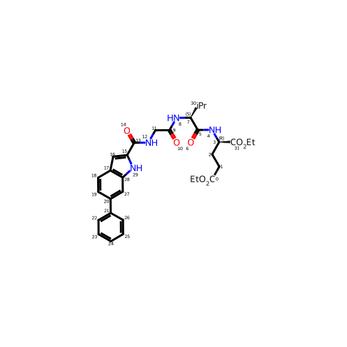 CCOC(=O)CC[C@@H](NC(=O)[C@@H](NC(=O)CNC(=O)c1cc2ccc(-c3ccccc3)cc2[nH]1)C(C)C)C(=O)OCC